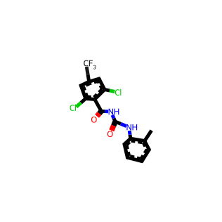 Cc1ccccc1NC(=O)NC(=O)c1c(Cl)cc(C(F)(F)F)cc1Cl